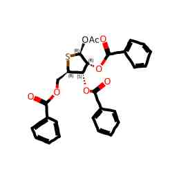 CC(=O)O[C@@H]1S[C@H](COC(=O)c2ccccc2)[C@@H](OC(=O)c2ccccc2)[C@H]1OC(=O)c1ccccc1